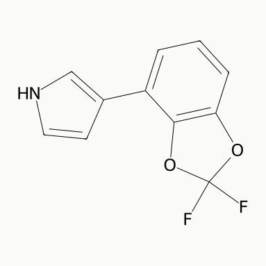 FC1(F)Oc2cccc(-c3cc[nH]c3)c2O1